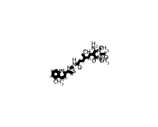 C=CC(CCC(=O)Nc1nc(C(=N)/C=C\c2ccccc2C)cs1)CC/C(C(=O)NC)=C(\N)N(C)CC=O